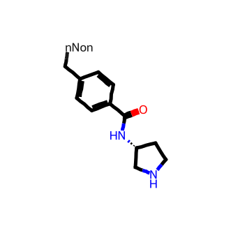 CCCCCCCCCCc1ccc(C(=O)N[C@@H]2CCNC2)cc1